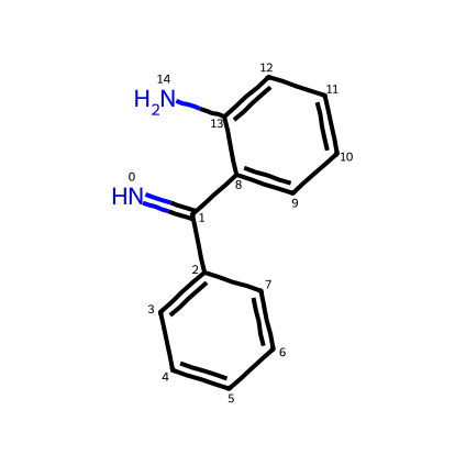 N=C(c1ccccc1)c1ccccc1N